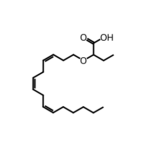 CCCCC/C=C\C/C=C\C/C=C\CCOC(CC)C(=O)O